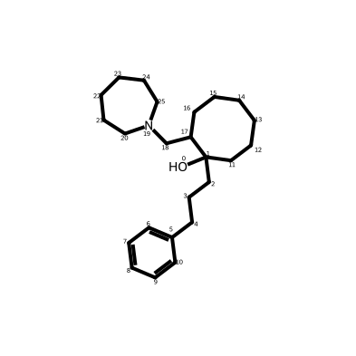 OC1(CCCc2ccccc2)CCCCCCC1CN1CCCCCC1